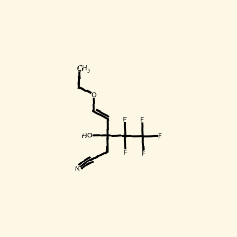 CCOC=CC(O)(CC#N)C(F)(F)C(F)(F)F